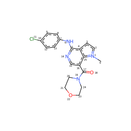 Cn1ccc2c(Nc3ccc(Cl)cc3)ncc(C(=O)N3CCOCC3)c21